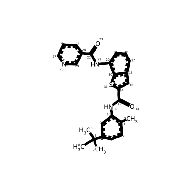 Cc1ccc(C(C)(C)C)cc1NC(=O)c1cc2cccc(NC(=O)c3cccnc3)c2s1